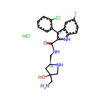 Cl.NCC1(O)CN[C@H](CNC(=O)c2[nH]c3ccc(F)cc3c2-c2ccccc2Cl)C1